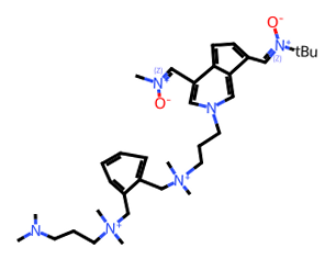 CN(C)CCC[N+](C)(C)Cc1ccccc1C[N+](C)(C)CCCn1cc(/C=[N+](/C)[O-])c2ccc(/C=[N+](\[O-])C(C)(C)C)c-2c1